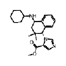 COC(=O)c1cncn1[C@H]1c2ccccc2[C@H](NC2CCCCC2)CC1(C)C